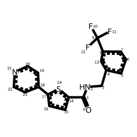 O=C(NCc1cccc(C(F)(F)F)c1)c1ccc(-c2ccncc2)s1